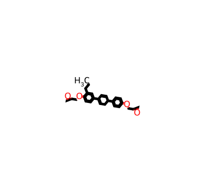 CCCc1cc(C2=CCC(c3ccc(OCC4CO4)cc3)C=C2)ccc1OCC1CO1